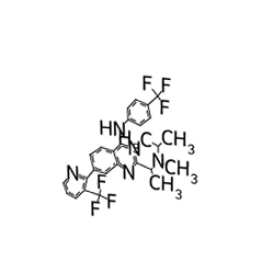 CC(C)N(C)C(C)c1nc(Nc2ccc(C(F)(F)F)cc2)c2ccc(-c3ncccc3C(F)(F)F)cc2n1